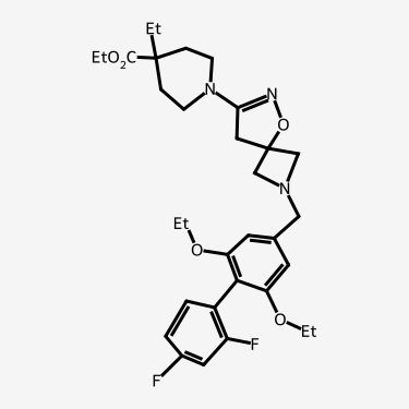 CCOC(=O)C1(CC)CCN(C2=NOC3(C2)CN(Cc2cc(OCC)c(-c4ccc(F)cc4F)c(OCC)c2)C3)CC1